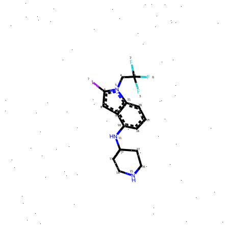 FC(F)(F)Cn1c(I)cc2c(NC3CCNCC3)cccc21